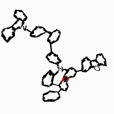 c1ccc(-c2ccccc2-c2ccccc2N(c2ccc(-c3cccc(-c4ccc(-n5c6ccccc6c6ccccc65)cc4)c3)cc2)c2cccc(-c3ccc4c(c3)oc3ccccc34)c2)cc1